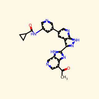 CC(=O)c1cncc2[nH]c(-c3n[nH]c4ncc(-c5cncc(NC(=O)C6CC6)c5)cc34)nc12